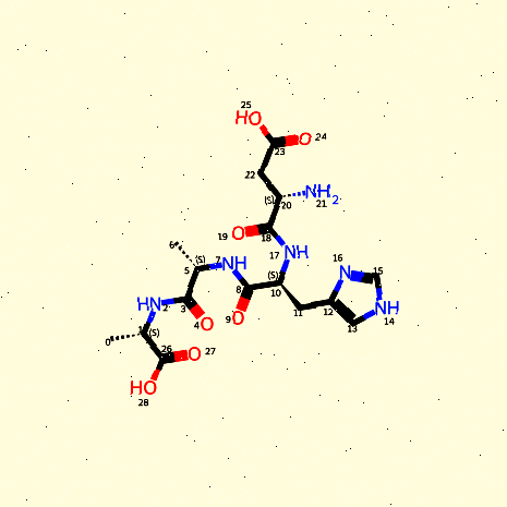 C[C@H](NC(=O)[C@H](C)NC(=O)[C@H](Cc1c[nH]cn1)NC(=O)[C@@H](N)CC(=O)O)C(=O)O